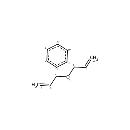 C=CCOCC=C.c1ccccc1